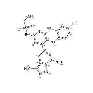 CCS(=O)(=O)Nc1ncc(Oc2ccc(F)cc2F)c(-c2cc(C)c3nnc(C)n3c2)n1